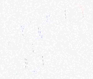 Fc1cc(-c2nc(NCC3CCOCC3)cnc2C(F)(F)F)c(Cl)cn1